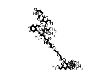 [2H]CC1OC(n2ccc(=O)[nH]c2=O)C(F)C1OP(OCCc1ccccc1SSC(C)(C)CCC(=O)NCCOCCOCCOC1OC(CC)C(C)C(C)C1O[Si](C)(C)C(C)(C)C)N(C(C)C)C(C)C